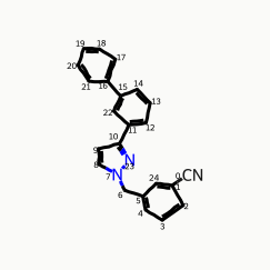 N#Cc1cccc(Cn2ccc(-c3cccc(-c4ccccc4)c3)n2)c1